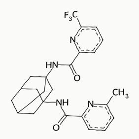 Cc1cccc(C(=O)NC23CC4CC(C2)CC(NC(=O)c2cccc(C(F)(F)F)n2)(C4)C3)n1